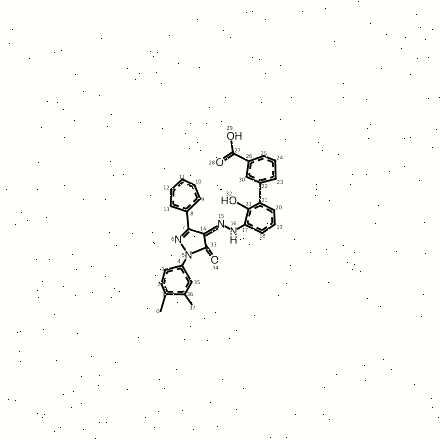 Cc1ccc(N2N=C(c3ccccc3)/C(=N/Nc3cccc(-c4cccc(C(=O)O)c4)c3O)C2=O)cc1C